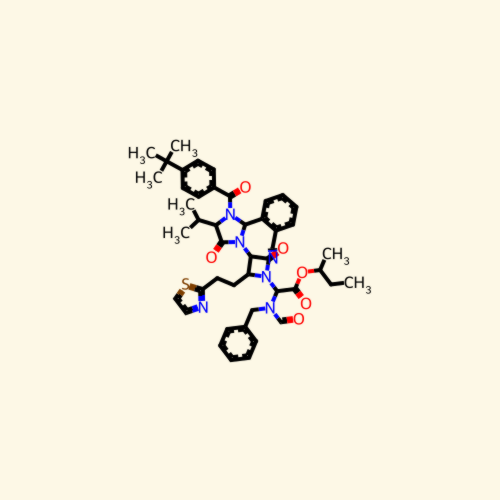 CCC(C)OC(=O)C(N(C=O)Cc1ccccc1)N1C(=O)C(N2C(=O)C(C(C)C)N(C(=O)c3ccc(C(C)(C)C)cc3)C2c2ccccc2C#N)C1CCc1nccs1